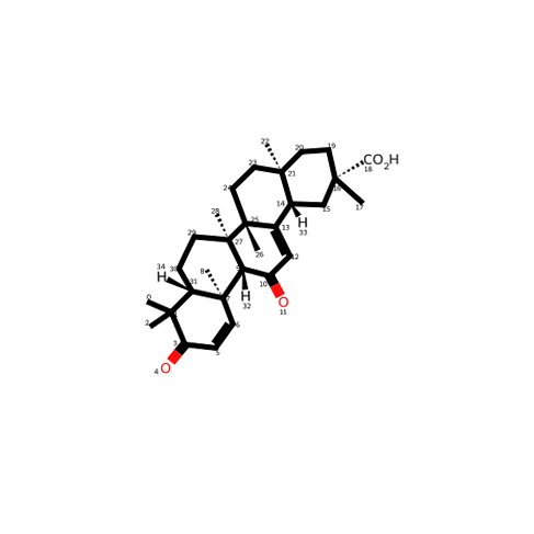 CC1(C)C(=O)C=C[C@]2(C)[C@H]3C(=O)C=C4[C@H]5C[C@@](C)(C(=O)O)CC[C@]5(C)CC[C@@]4(C)[C@]3(C)CC[C@@H]12